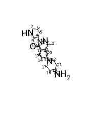 Cc1nn(C2CCCNC2)c(=O)c2ccc(N3CCC(N)CC3)cc12